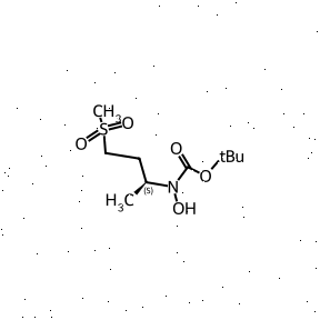 C[C@@H](CCS(C)(=O)=O)N(O)C(=O)OC(C)(C)C